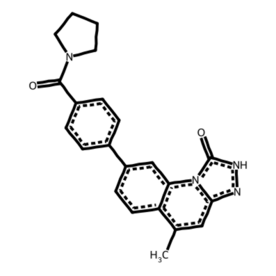 Cc1cc2n[nH]c(=O)n2c2cc(-c3ccc(C(=O)N4CCCC4)cc3)ccc12